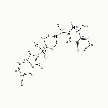 Cc1c(S(=O)(=O)N2CCN(C(C)c3nc4ccccc4c(=O)n3C)CC2)sc2ccc(F)cc12